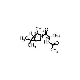 C[C@@H]1[C@@H]2C(CN1C(=O)[C@@H](NC(=O)C(F)(F)F)C(C)(C)C)C2(C)C